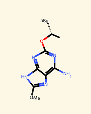 CCCC[C@H](C)Oc1nc(N)c2nc(OC)[nH]c2n1